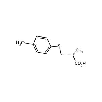 Cc1ccc(SCC(C)C(=O)O)cc1